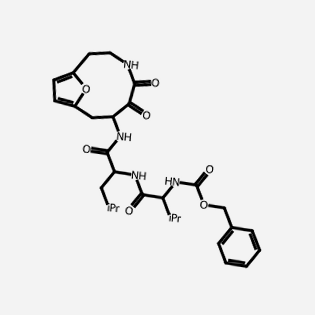 CC(C)CC(NC(=O)C(NC(=O)OCc1ccccc1)C(C)C)C(=O)NC1Cc2ccc(o2)CCNC(=O)C1=O